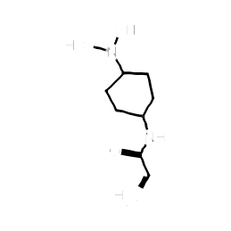 C=CC(=O)NC1CCC(N(C)C)CC1